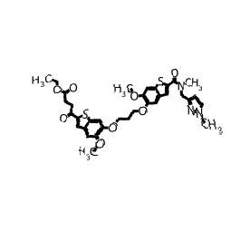 CCOC(=O)CCC(=O)c1cc2cc(OC)c(OCCCOc3cc4cc(C(=O)N(C)Cc5ccn(C)n5)sc4cc3OC)cc2s1